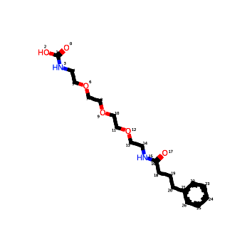 O=C(O)NCCOCCOCCOCCNC(=O)CCCc1ccccc1